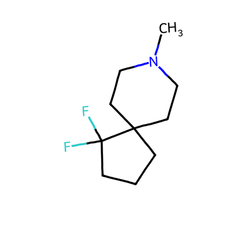 CN1CCC2(CCCC2(F)F)CC1